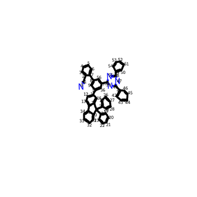 N#Cc1ccccc1-c1cc(-c2ccc3c(c2)C(c2ccccc2)(c2ccccc2)c2ccccc2-3)cc(-c2nc(-c3ccccc3)nc(-c3ccccc3)n2)c1